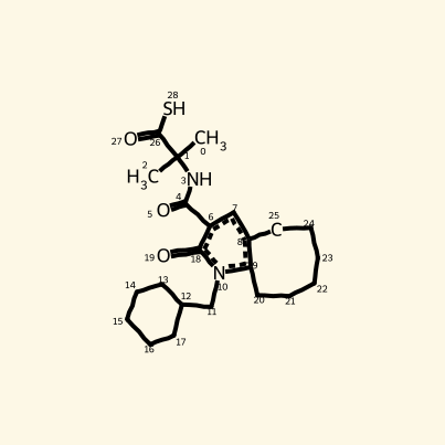 CC(C)(NC(=O)c1cc2c(n(CC3CCCCC3)c1=O)CCCCCC2)C(=O)S